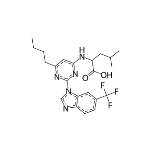 CCCCc1cc(NC(CC(C)C)C(=O)O)nc(-n2cnc3ccc(C(F)(F)F)cc32)n1